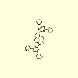 c1ccc(-c2nc(-c3ccccc3)nc(-c3ccc4ccc5c(-c6nc(-c7cccnc7)nc(-c7cccnc7)n6)ccc6ccc3c4c65)n2)cc1